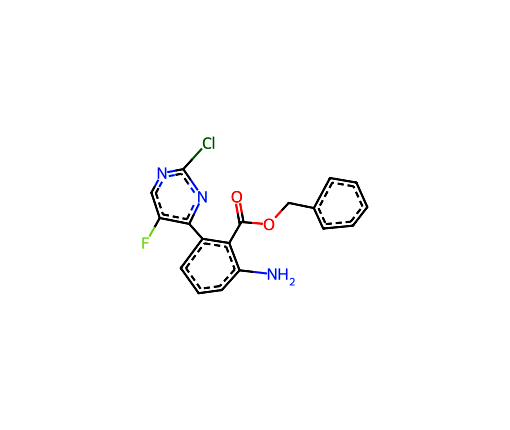 Nc1cccc(-c2nc(Cl)ncc2F)c1C(=O)OCc1ccccc1